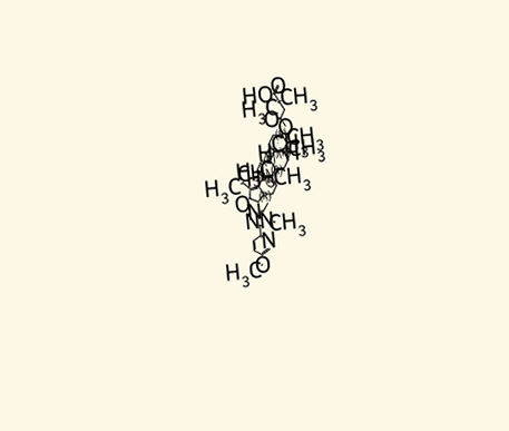 COc1ccc(-c2nnc(C[C@@]34CC[C@]5(C)[C@H](CC[C@@H]6[C@@]7(C)CC[C@H](OC(=O)CC(C)(C)C(=O)O)C(C)(C)[C@@H]7CC[C@]65C)C3=C(C(C)C)C(=O)C4)n2C)nc1